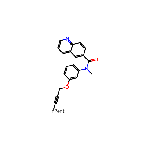 CCCCCC#CCOc1cccc(N(C)C(=O)c2ccc3ncccc3c2)c1